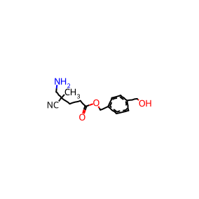 CC(C#N)(CN)CCC(=O)OCc1ccc(CO)cc1